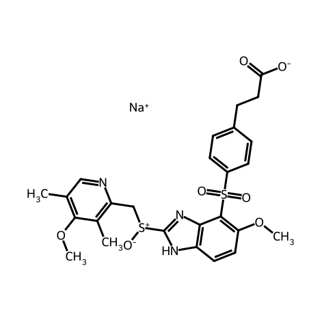 COc1ccc2[nH]c([S+]([O-])Cc3ncc(C)c(OC)c3C)nc2c1S(=O)(=O)c1ccc(CCC(=O)[O-])cc1.[Na+]